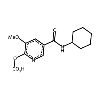 COc1cc(C(=O)NC2CCCCC2)cnc1OC(=O)O